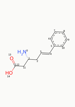 N[C@H](CC=Cc1ccccc1)CC(=O)O